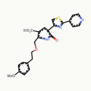 CCOC(=O)c1cc(-c2csc(-c3ccncc3)n2)c(=O)[nH]c1COCCc1ccc(OC)cc1